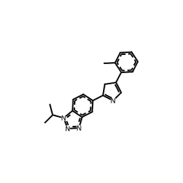 Cc1ccccc1C1=CN=C(c2ccc3c(c2)nnn3C(C)C)C1